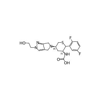 O=C(O)N[C@H]1C[C@@H](N2Cc3cn(CCO)nc3C2)CSC1c1cc(F)ccc1F